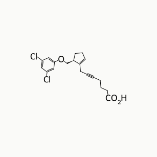 O=C(O)CCCC#CCC1=CCC[C@@H]1COc1cc(Cl)cc(Cl)c1